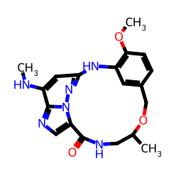 CNc1cc2nn3c(cnc13)C(=O)NCC(C)OCc1ccc(OC)c(c1)N2